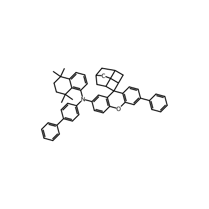 CC1(C)CCC(C)(C)c2c(N(c3ccc(-c4ccccc4)cc3)c3ccc4c(c3)C3(c5ccc(-c6ccccc6)cc5O4)C4CC5CC6CC3C64C5)cccc21